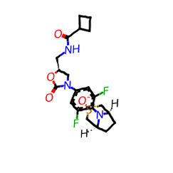 O=C(NC[C@H]1CN(c2cc(F)c(N3[C@@H]4CC[C@H]3C[S+]([O-])C4)c(F)c2)C(=O)O1)C1CCC1